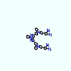 N#Cc1ccc(-c2ccc(-n3c4ccccc4c4cc(-c5cnc6c(c5)c5cc(-c7ccc8c(c7)c7ccccc7n8-c7ccc(-c8ccc(C#N)c(C#N)c8)cc7)cnc5n6-c5ccccc5)ccc43)cc2)cc1C#N